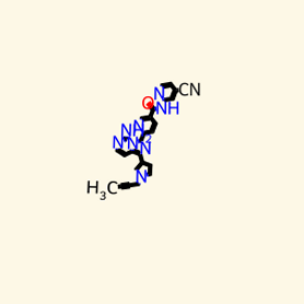 CC#CCN1CCC(c2nc(-c3ccc(C(=O)Nc4cc(C#N)ccn4)cn3)n3c(N)nccc23)C1